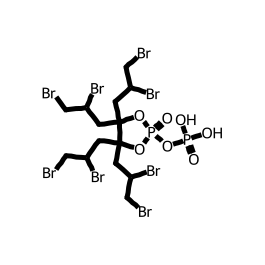 O=P(O)(O)OP1(=O)OC(CC(Br)CBr)(CC(Br)CBr)C(CC(Br)CBr)(CC(Br)CBr)O1